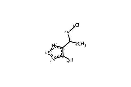 CC(SCl)c1nsnc1Cl